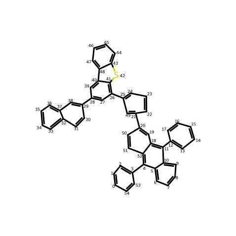 c1ccc(-c2c3ccccc3c(-c3ccccc3)c3cc(-c4cccc(-c5cc(-c6ccc7ccccc7c6)cc6c5sc5ccccc56)c4)ccc23)cc1